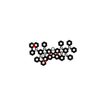 c1ccc(-c2ccccc2N(c2ccccc2)c2cc3c4c(c2)N(c2ccccc2-c2ccccc2)c2ccccc2B4c2cc4c(cc2N3c2ccccc2)Oc2cc3c(cc2C42c4ccccc4-c4ccccc42)B2c4ccccc4N(c4ccccc4)c4cc(N(c5ccccc5)c5ccccc5)cc(c42)N3c2ccccc2)cc1